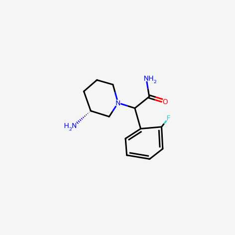 NC(=O)C(c1ccccc1F)N1CCC[C@@H](N)C1